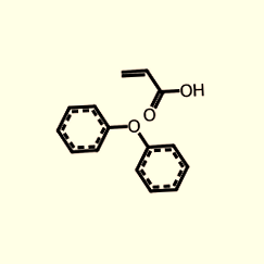 C=CC(=O)O.c1ccc(Oc2ccccc2)cc1